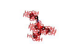 O=C(/C=C/c1ccc(O[C@@H]2OC(CO)[C@@H](O)C(O)C2O)cc1)OCC1O[C@@H](Oc2c(-c3ccc(O[C@@H]4OC(CO)[C@@H](O)C(O)C4O)cc3)oc3cc(O[C@@H]4OC(CO)[C@@H](O)[C@H](O)C4O)cc(O)c3c2=O)C(O)C(O)[C@@H]1O